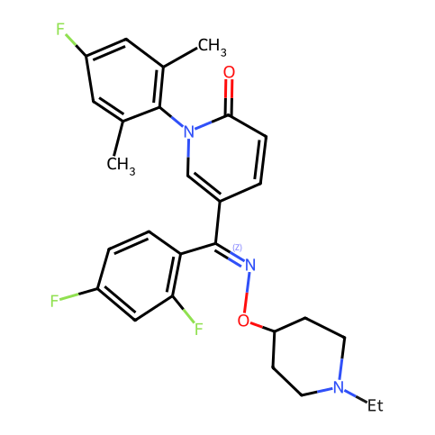 CCN1CCC(O/N=C(/c2ccc(=O)n(-c3c(C)cc(F)cc3C)c2)c2ccc(F)cc2F)CC1